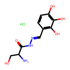 Cl.NC(CO)C(=O)NN=Cc1ccc(O)c(O)c1O